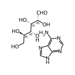 Nc1ncnc2[nH]cnc12.O=C[C@H](O)[C@@H](O)[C@H](O)[C@H](O)CO